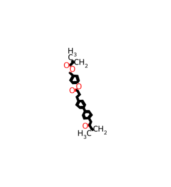 C=C(C)C(=O)Cc1ccc(-c2ccc(CCC(=O)Oc3ccc(COC(=O)C(=C)C)cc3)cc2)cc1